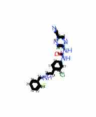 N#Cc1cnc(NC(=O)Nc2ccc(CCNCc3ccccc3F)c(Cl)c2)cn1